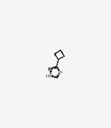 c1nc(C2CCC2)n[nH]1